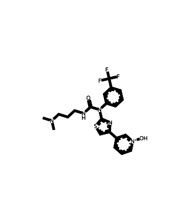 CN(C)CCCNC(=O)N(c1cccc(C(F)(F)F)c1)c1nc(-c2ccc[n+](O)c2)cs1